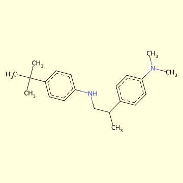 CC(CNc1ccc(C(C)(C)C)cc1)c1ccc(N(C)C)cc1